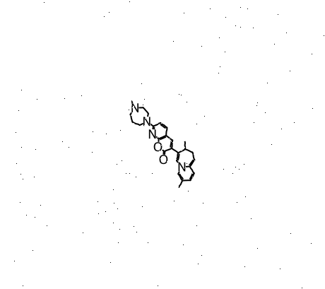 CC1=CN2C=C(c3cc4ccc(N5CCCN(C)CC5)nc4oc3=O)C(C)CC=C2C=C1